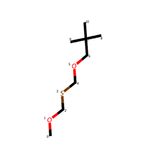 COCSCOCC(C)(C)C